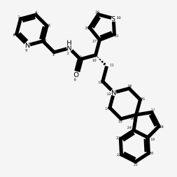 O=C(NCc1ccccn1)[C@@H](CCN1CCC2(C=Cc3ccccc32)CC1)c1ccsc1